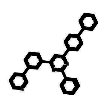 c1cccc(-c2nc(-c3ccc(-c4ccccc4)cc3)cc(-c3cccc(-c4cccnc4)c3)n2)c#1